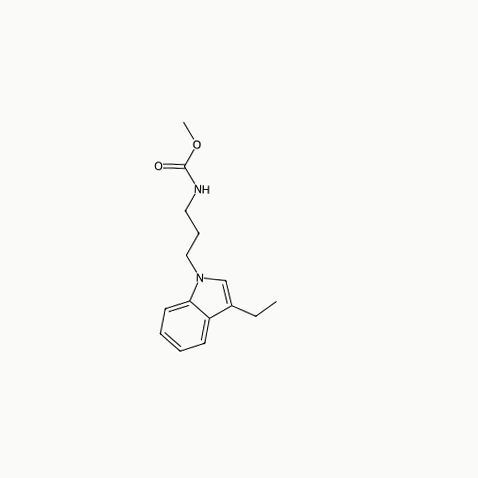 CCc1cn(CCCNC(=O)OC)c2ccccc12